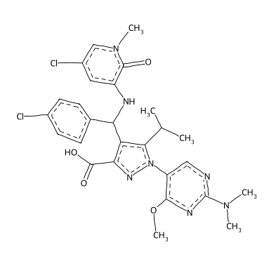 COc1nc(N(C)C)ncc1-n1nc(C(=O)O)c(C(Nc2cc(Cl)cn(C)c2=O)c2ccc(Cl)cc2)c1C(C)C